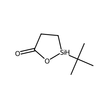 CC(C)(C)[SiH]1CCC(=O)O1